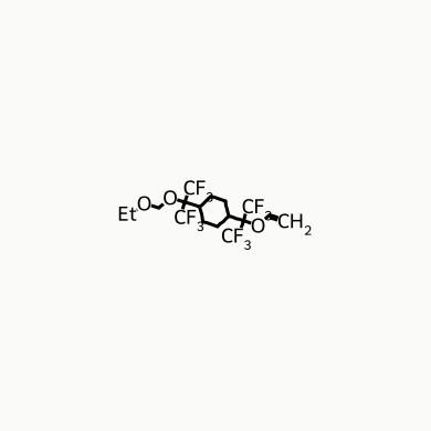 C=COC(C1CCC(C(OCOCC)(C(F)(F)F)C(F)(F)F)CC1)(C(F)(F)F)C(F)(F)F